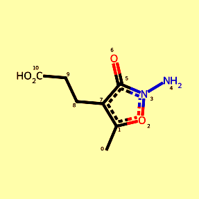 Cc1on(N)c(=O)c1CCC(=O)O